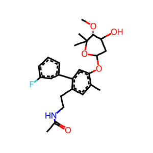 CO[C@@H]1C(O)CC(Oc2cc(-c3cccc(F)c3)c(CCNC(C)=O)cc2C)OC1(C)C